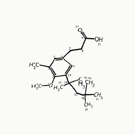 COc1c(C)cc(CCC(=O)O)cc1C(C)(C)CC(C)(C)C